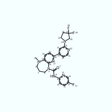 CN1CCCN(C(=O)Nc2ccc(F)cn2)c2nc(-c3ccnc(N4CCC(F)(F)C4)c3)ccc21